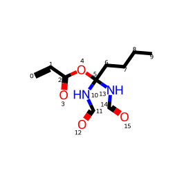 C=CC(=O)OC(CCCC)(NC=O)NC=O